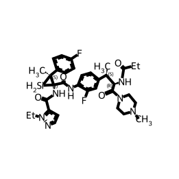 CCC(=O)N[C@@H](C(=O)N1CCN(C)CC1)[C@@H](C)c1ccc(NC(=O)[C@@]2(NC(=O)c3ccnn3CC)[SiH2][C@@]2(C)c2ccc(F)cc2)c(F)c1